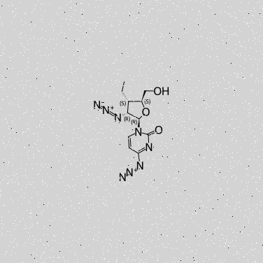 CC[C@H]1[C@@H](N=[N+]=[N-])[C@H](n2ccc(N=[N+]=[N-])nc2=O)O[C@@H]1CO